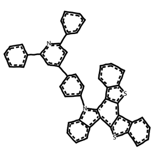 c1ccc(-c2cc(-c3ccc(-n4c5ccccc5c5c6sc7ccccc7c6c6sc7ccccc7c6c54)cc3)cc(-c3ccccc3)n2)cc1